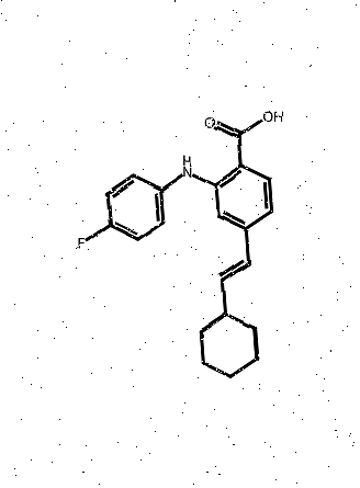 O=C(O)c1ccc(C=CC2CCCCC2)cc1Nc1ccc(F)cc1